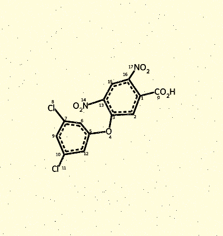 O=C(O)c1cc(Oc2cc(Cl)cc(Cl)c2)c([N+](=O)[O-])cc1[N+](=O)[O-]